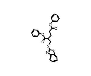 O=C(CCC(CSc1nc2ccccc2s1)C(=O)Oc1ccccc1)Oc1ccccc1